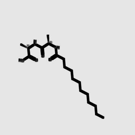 CCCCCCCCCCCC(=O)N[C@@H](C)C(=O)N[C@@H](C)C(=O)O